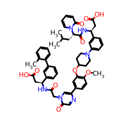 COc1ccc(-c2cn(CC(=O)N[C@@H](CC(=O)O)c3cccc(-c4ccccc4C)c3)c(=O)cn2)cc1OC1CCN(c2cccc([C@H](CC(=O)O)NC(=O)[C@H](CC(C)C)n3ccccc3=O)c2)CC1